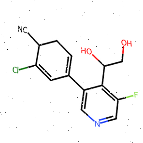 N#CC1CC=C(c2cncc(F)c2C(O)CO)C=C1Cl